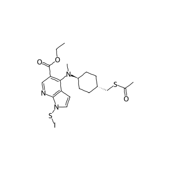 CCOC(=O)c1cnc2c(ccn2SI)c1N(C)[C@H]1CC[C@H](CSC(C)=O)CC1